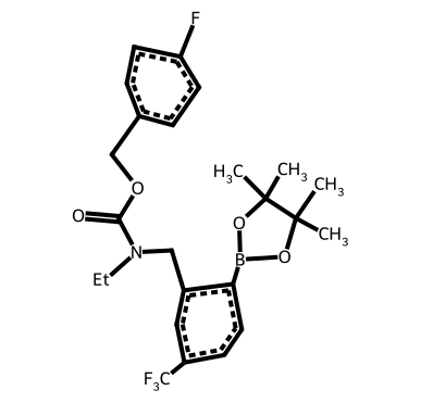 CCN(Cc1cc(C(F)(F)F)ccc1B1OC(C)(C)C(C)(C)O1)C(=O)OCc1ccc(F)cc1